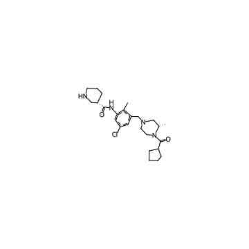 Cc1c(CN2CCN(C(=O)C3CCCC3)[C@@H](C)C2)cc(Cl)cc1NC(=O)[C@H]1CCCNC1